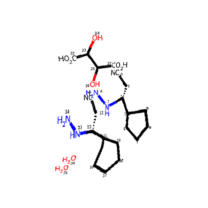 N#CC[C@@H](NN)C1CCCC1.N#CC[C@@H](NN)C1CCCC1.O.O.O=C(O)C(O)C(O)C(=O)O